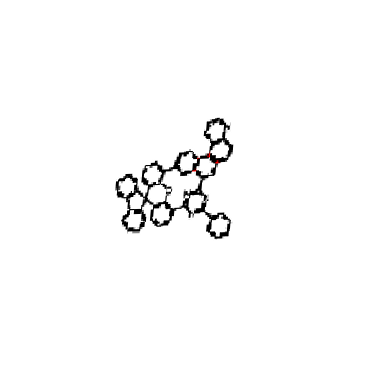 c1ccc(-c2nc(-c3ccccc3)nc(-c3cccc4c3Oc3c(-c5ccc(-c6cccc7ncccc67)cc5)cccc3C43c4ccccc4-c4ccccc43)n2)cc1